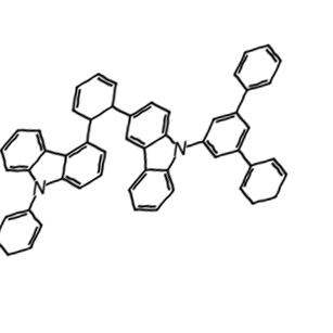 C1=CC(c2ccc3c(c2)c2ccccc2n3-c2cc(C3=CCCC=C3)cc(-c3ccccc3)c2)C(c2cccc3c2c2ccccc2n3C2=CCCC=C2)C=C1